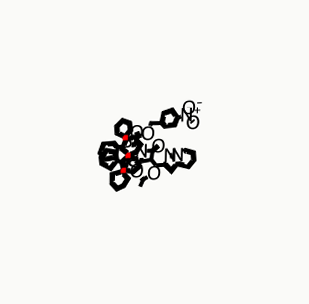 CC(=O)OC(c1cc2ccccn2n1)C1C(=O)N(C(C(=O)OCc2ccc([N+](=O)[O-])cc2)=P(c2ccccc2)(c2ccccc2)c2ccccc2)C1SC(c1ccccc1)(c1ccccc1)c1ccccc1